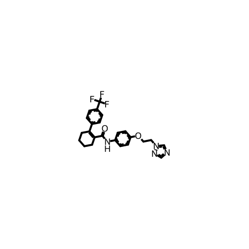 O=C(Nc1ccc(OCCn2cncn2)cc1)C1=C(c2ccc(C(F)(F)F)cc2)CCCC1